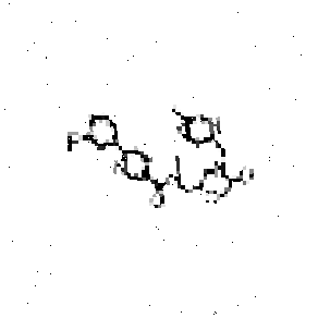 Cc1cnc(CN2CC(CNC(=O)c3ccc(-c4cccc(F)c4)nc3)OCC2=O)cn1